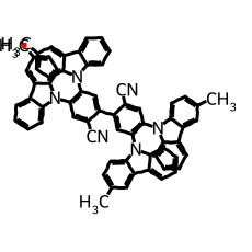 Cc1ccc2c(c1)c1ccccc1n2-c1cc(C#N)c(-c2cc(-n3c4ccccc4c4cc(C)ccc43)c(-n3c4ccccc4c4cc(C)ccc43)cc2C#N)cc1-n1c2ccccc2c2cc(C)ccc21